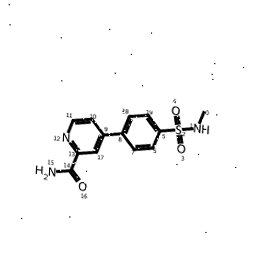 CNS(=O)(=O)c1ccc(-c2ccnc(C(N)=O)c2)cc1